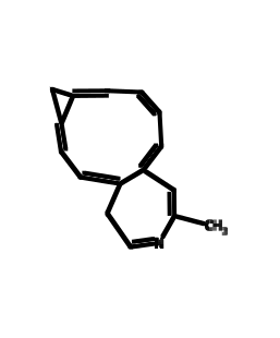 CC1=Cc2ccccc3c(ccc2CC=N1)C3